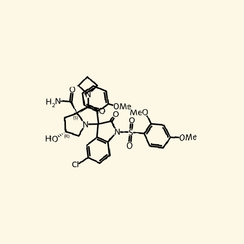 COc1ccc(S(=O)(=O)N2C(=O)C(c3ccccc3OC)(N3C[C@H](O)C[C@]3(C(N)=O)C(=O)N3CCC3)c3cc(Cl)ccc32)c(OC)c1